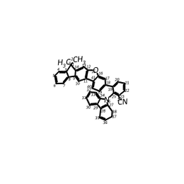 CC1(C)c2ccccc2-c2cc3c(cc21)oc1cc(-c2cccc(C#N)c2-n2c4c(c5ccccc52)C=CCC4)ccc13